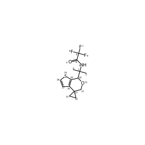 CC(C)(NC(=O)C(F)(F)F)C1OCC2(CC2)c2ccsc21